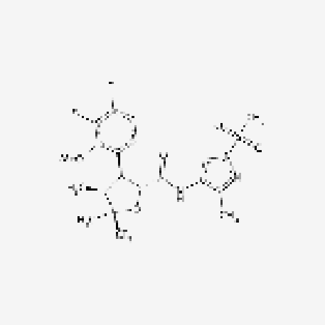 COc1c([C@H]2[C@H](C(=O)Nc3cn(S(C)(=O)=O)nc3C)O[C@@](C)(C(F)(F)F)[C@H]2C)ccc(F)c1F